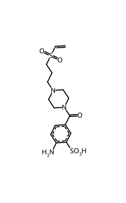 C=CS(=O)(=O)CCCN1CCN(C(=O)c2ccc(N)c(S(=O)(=O)O)c2)CC1